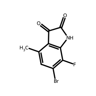 Cc1cc(Br)c(F)c2c1C(=O)C(=O)N2